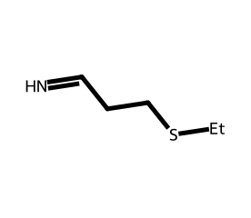 CCSCCC=N